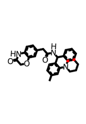 Cc1ccc(C(NC(=O)Cc2ccc3c(c2)OCC(=O)N3)c2ccccc2)c(N2CCCCC2)c1